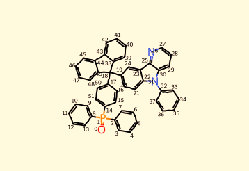 O=P(c1ccccc1)(c1ccccc1)c1ccc(C2(c3ccc4c(c3)c3ncccc3n4-c3ccccc3)c3ccccc3-c3ccccc32)cc1